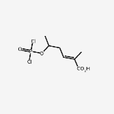 CC(=CCC(C)OP(=O)(Cl)Cl)C(=O)O